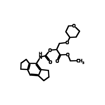 CCOC(=O)C(COC1CCOCC1)OC(=O)Nc1c2c(cc3c1CCC3)CCC2